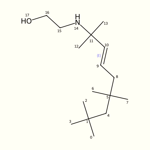 CC(C)(C)CC(C)(C)C/C=C/C(C)(C)NCCO